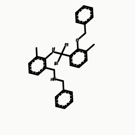 CCC(CC)(Pc1c(C)cccc1CNCc1ccccc1)c1cccc(C)c1OCc1ccccc1